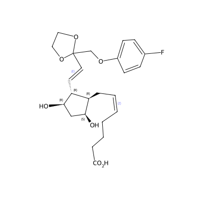 O=C(O)CCC/C=C\C[C@@H]1[C@@H](/C=C/C2(COc3ccc(F)cc3)OCCO2)[C@H](O)C[C@@H]1O